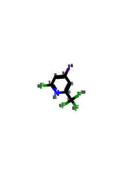 Fc1cc(I)cc(C(F)(F)F)n1